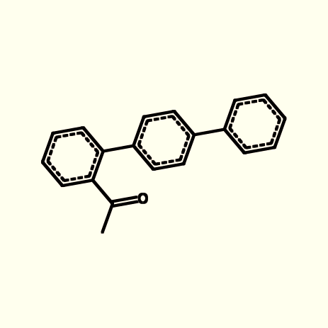 CC(=O)c1ccccc1-c1ccc(-c2ccccc2)cc1